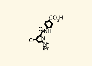 CC(C)N(C)c1cc(Cl)cc(C(=O)Nc2ccc(C(=O)O)cc2)n1